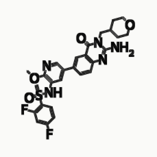 C=S(=O)(Nc1cc(-c2ccc3nc(N)n(CC4CCOCC4)c(=O)c3c2)cnc1OC)c1ccc(F)cc1F